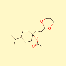 CC(=O)OC1(CCC2OCCCO2)CCC(C(C)C)CC1